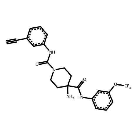 C#Cc1cccc(NC(=O)N2CCC(N)(C(=O)Nc3cccc(OC(F)(F)F)c3)CC2)c1